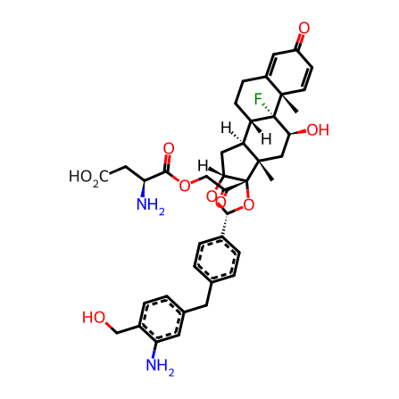 C[C@]12C=CC(=O)C=C1CC[C@H]1[C@@H]3C[C@H]4O[C@@H](c5ccc(Cc6ccc(CO)c(N)c6)cc5)O[C@@]4(C(=O)COC(=O)[C@@H](N)CC(=O)O)[C@@]3(C)C[C@H](O)[C@@]12F